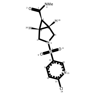 CNC(=O)[C@H]1[C@@H]2CN(S(=O)(=O)c3ccc(Cl)nc3)C[C@@H]21